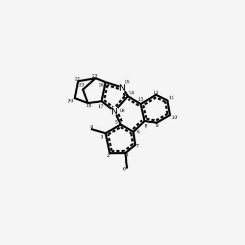 Cc1cc(C)c2c(c1)c1ccccc1c1nc3c(n12)C1CCC3C1